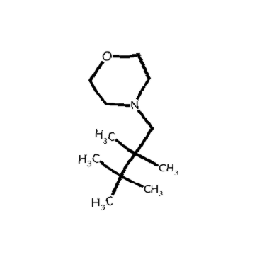 CC(C)(C)C(C)(C)CN1CCOCC1